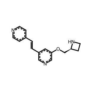 C(=Cc1cncc(OC[C@@H]2CCN2)c1)c1ccncc1